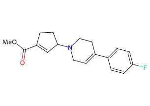 COC(=O)C1=CC(N2CC=C(c3ccc(F)cc3)CC2)CC1